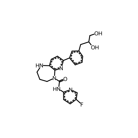 O=C(Nc1ccc(F)cn1)N1CCCNc2ccc(-c3cccc(CC(O)CO)c3)nc21